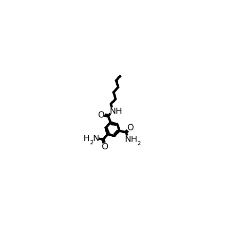 CCCCCCNC(=O)c1cc(C(N)=O)cc(C(N)=O)c1